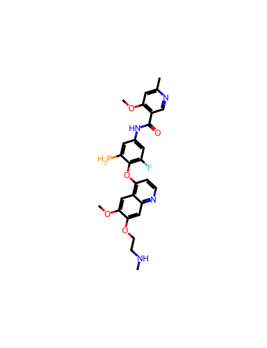 CNCCOc1cc2nccc(Oc3c(F)cc(NC(=O)c4cnc(C)cc4OC)cc3P)c2cc1OC